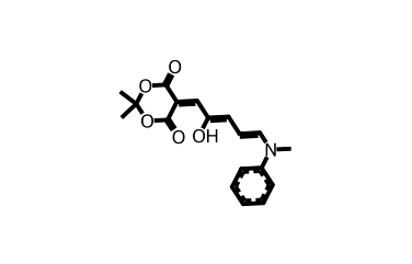 CN(/C=C/C=C(\O)C=C1C(=O)OC(C)(C)OC1=O)c1ccccc1